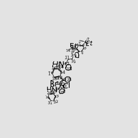 CCC(C)(C)c1ccc(OCCCC(=O)Nc2cccc(C(=O)C(Cl)(Br)C(=O)Nc3ccccc3)c2)c(C(C)(C)CC)c1